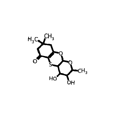 CC1OC2OC3=C(SC2C(O)C1O)C(=O)CC(C)(C)C3